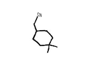 CC1(C)CCC(CC#N)CC1